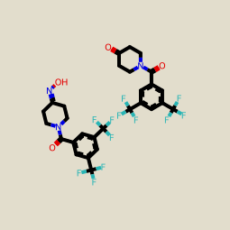 O=C(c1cc(C(F)(F)F)cc(C(F)(F)F)c1)N1CCC(=NO)CC1.O=C1CCN(C(=O)c2cc(C(F)(F)F)cc(C(F)(F)F)c2)CC1